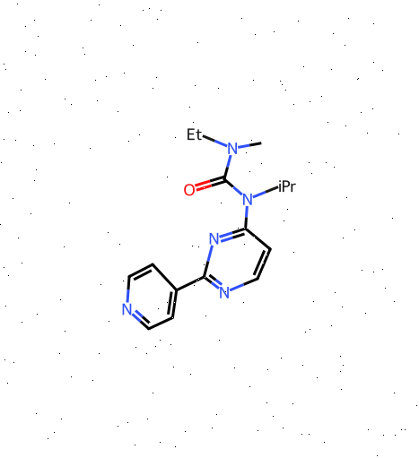 CCN(C)C(=O)N(c1ccnc(-c2ccncc2)n1)C(C)C